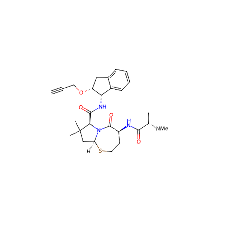 C#CCO[C@@H]1Cc2ccccc2[C@@H]1NC(=O)[C@H]1N2C(=O)[C@@H](NC(=O)[C@H](C)NC)CCS[C@H]2CC1(C)C